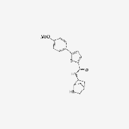 COc1ccc(-c2ccc(C(=O)NC3CC4CNC3C4)s2)cc1